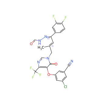 C/C(=C\C(=N/NC=O)c1ccc(F)c(F)c1)Cn1cnc(C(F)(F)F)c(Oc2cc(Cl)cc(C#N)c2)c1=O